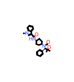 Cn1cc(C(=O)NC2CCC(N3C(=O)OC(C)(C)[C@H]3c3ccccc3)CC2)c2ccccc21